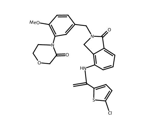 C=C(Nc1cccc2c1CN(Cc1ccc(OC)c(N3CCOCC3=O)c1)C2=O)c1ccc(Cl)s1